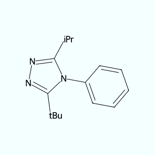 CC(C)c1nnc(C(C)(C)C)n1-c1ccccc1